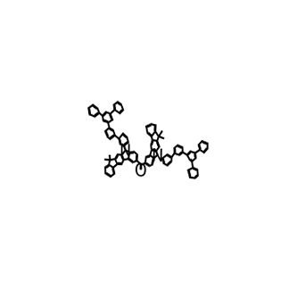 CC1(C)c2ccccc2-c2cc3c4cc(C(=O)c5ccc6c(c5)c5cc7c(cc5n6-c5cccc(-c6cccc(-c8cc(-c9ccccc9)cc(-c9ccccc9)c8)c6)c5)C(C)(C)c5ccccc5-7)ccc4n(-c4cccc(-c5cccc(-c6cc(-c7ccccc7)cc(-c7ccccc7)c6)c5)c4)c3cc21